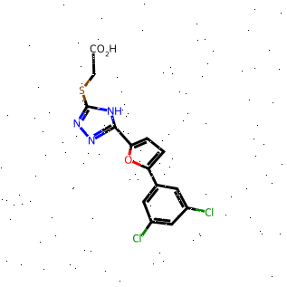 O=C(O)CSc1nnc(-c2ccc(-c3cc(Cl)cc(Cl)c3)o2)[nH]1